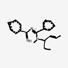 CC=CC(CC)N(C)/C(=N\C(=N)c1ccccc1)c1ccccc1